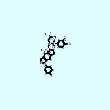 C[C@@H](O)CN(C[C@H]1CCC2=Cc3c(cnn3-c3ccc(F)cc3)C[C@@]21C)S(=O)(=O)c1ccc(F)c(Cl)c1